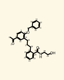 CC(=O)c1ccc(OCc2ccccc2)c(CCCc2ccccc2C(=O)NCCO)c1